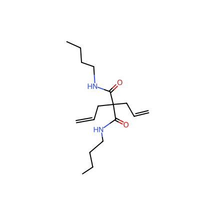 C=CCC(CC=C)(C(=O)NCCCC)C(=O)NCCCC